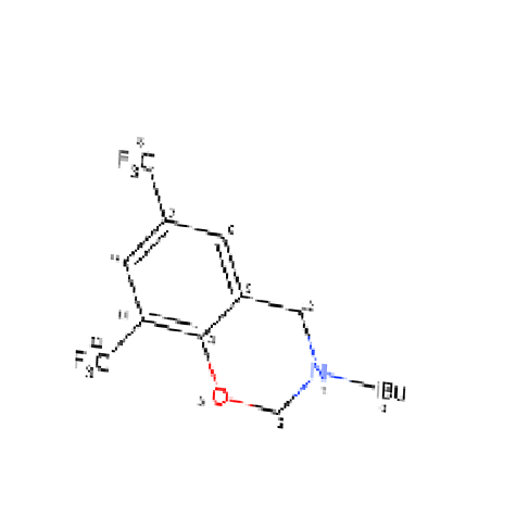 CCC(C)N1COc2c(cc(C(F)(F)F)cc2C(F)(F)F)C1